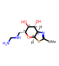 CNC1=N[C@@H]2[C@@H](O)[C@H](O)[C@@H](CNCN)O[C@@H]2S1